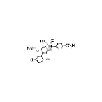 CC(C(=O)Nc1ccc(C(=O)O)cc1)n1cc(OCC(F)(F)F)c(-c2cc(Cl)ccc2C#N)cc1=O